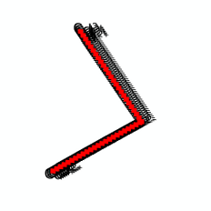 [Cd+2].[Cd+2].[Cd+2].[Cd+2].[Cd+2].[Cd+2].[Cd+2].[Cd+2].[Cd+2].[Cd+2].[S-2].[S-2].[S-2].[S-2].[S-2].[S-2].[S-2].[S-2].[S-2].[S-2].[S-2].[S-2].[S-2].[S-2].[S-2].[S-2].[S-2].[S-2].[S-2].[S-2].[S-2].[S-2].[S-2].[S-2].[S-2].[S-2].[S-2].[S-2].[S-2].[S-2].[S-2].[S-2].[S-2].[S-2].[S-2].[S-2].[S-2].[S-2].[S-2].[S-2].[S-2].[S-2].[S-2].[S-2].[S-2].[S-2].[S-2].[S-2].[S-2].[S-2].[S-2].[S-2].[S-2].[S-2].[S-2].[S-2].[S-2].[S-2].[S-2].[S-2].[S-2].[S-2].[S-2].[S-2].[S-2].[S-2].[S-2].[S-2].[S-2].[S-2].[S-2].[S-2].[S-2].[S-2].[S-2].[S-2].[S-2].[S-2].[S-2].[S-2].[S-2].[S-2].[S-2].[S-2].[S-2].[S-2].[S-2].[S-2].[S-2].[S-2]